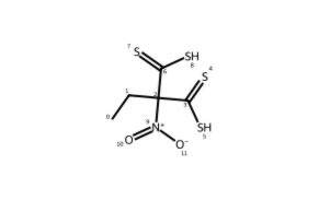 CCC(C(=S)S)(C(=S)S)[N+](=O)[O-]